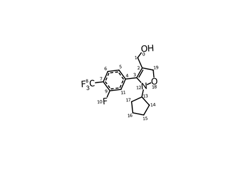 OCC1=C(c2ccc(C(F)(F)F)c(F)c2)N(C2CCCC2)OC1